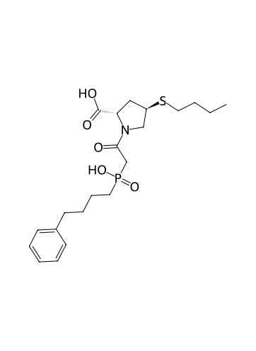 CCCCS[C@@H]1C[C@@H](C(=O)O)N(C(=O)CP(=O)(O)CCCCc2ccccc2)C1